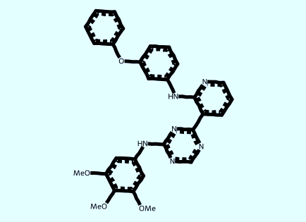 COc1cc(Nc2ncnc(-c3cccnc3Nc3cccc(Oc4ccccc4)c3)n2)cc(OC)c1OC